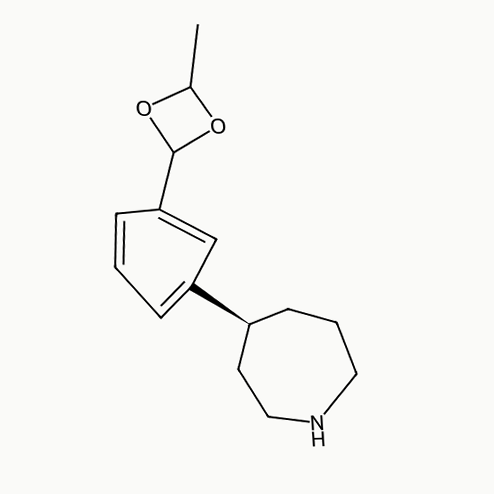 CC1OC(c2cccc([C@H]3CCCNCC3)c2)O1